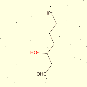 CC(C)CCCC(O)CC=O